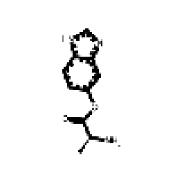 C[C@H](N)C(=O)Oc1ccc2[nH]cnc2c1